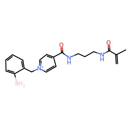 Bc1ccccc1C[n+]1ccc(C(=O)NCCCNC(=O)C(=C)C)cc1